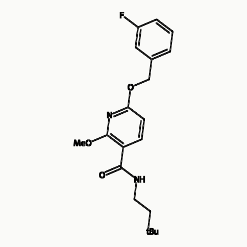 COc1nc(OCc2cccc(F)c2)ccc1C(=O)NCCC(C)(C)C